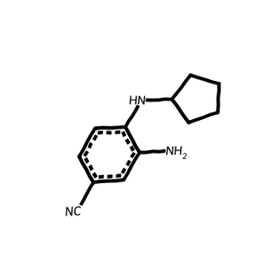 N#Cc1ccc(NC2CCCC2)c(N)c1